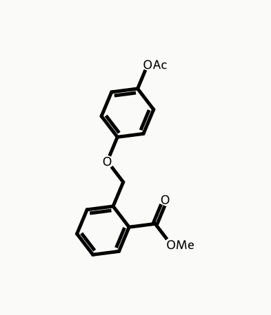 COC(=O)c1ccccc1COc1ccc(OC(C)=O)cc1